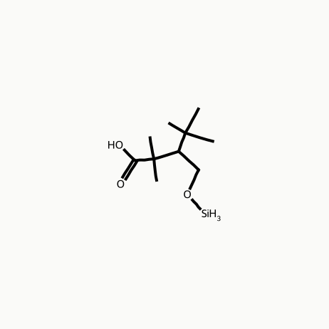 CC(C)(C)C(CO[SiH3])C(C)(C)C(=O)O